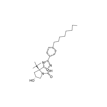 CCCCCCCCc1ccc(-c2noc([C@@]3(C(C)(C)C)C[C@@H](O)CN3C(=O)O)n2)cc1